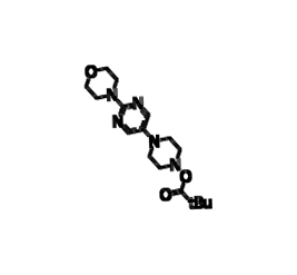 CC(C)(C)C(=O)ON1CCN(c2cnc(N3CCOCC3)nc2)CC1